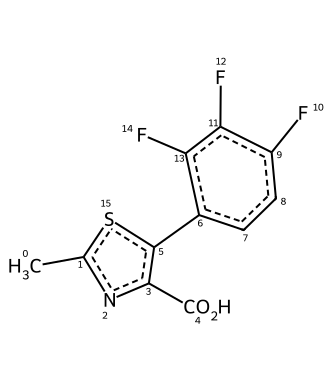 Cc1nc(C(=O)O)c(-c2ccc(F)c(F)c2F)s1